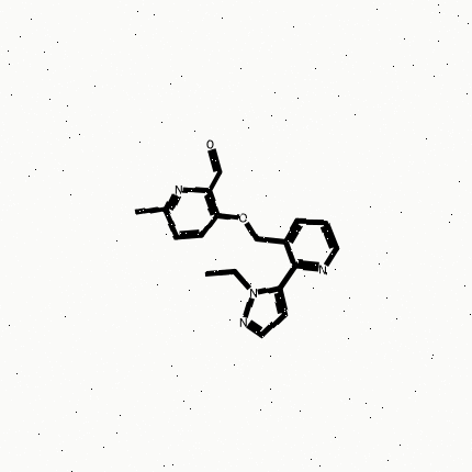 CCn1nccc1-c1ncccc1COc1ccc(C)nc1C=O